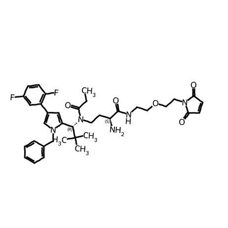 CCC(=O)N(CC[C@H](N)C(=O)NCCOCCN1C(=O)C=CC1=O)[C@@H](c1cc(-c2cc(F)ccc2F)cn1Cc1ccccc1)C(C)(C)C